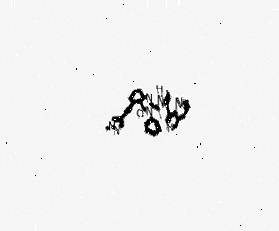 C=C(N[C@H](C)c1nc2cccc(C#Cc3cnn(C)c3)c2c(=O)n1-c1ccccc1)c1cncc2cccnc12